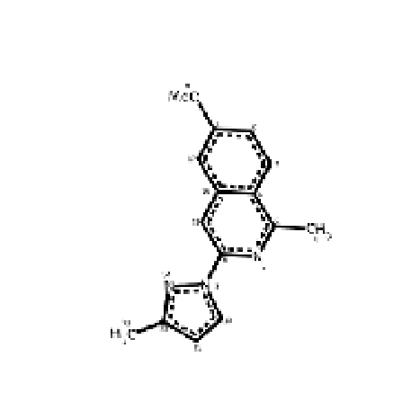 COc1ccc2c(C)nc(-n3ccc(C)n3)cc2c1